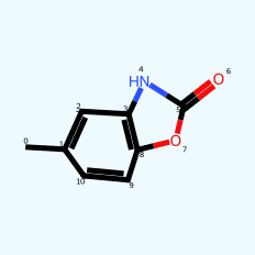 Cc1[c]c2[nH]c(=O)oc2cc1